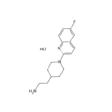 Cl.NCCC1CCN(c2ccc3cc(F)ccc3n2)CC1